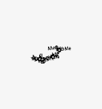 COc1cc(CNC(=O)c2ccc(N3CCN(C(=O)Cc4c(Cl)cc(CN5CCCC5)cc4Cl)CC3)cc2)cc(OC)c1